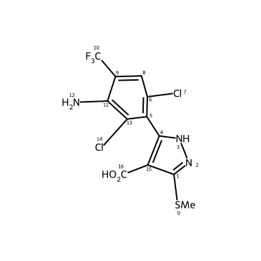 CSc1n[nH]c(-c2c(Cl)cc(C(F)(F)F)c(N)c2Cl)c1C(=O)O